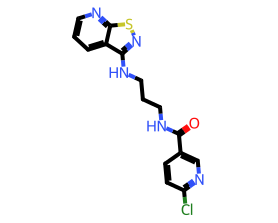 O=C(NCCCNc1nsc2ncccc12)c1ccc(Cl)nc1